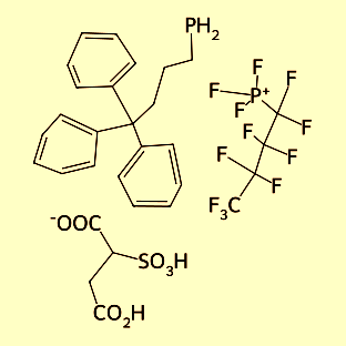 FC(F)(F)C(F)(F)C(F)(F)C(F)(F)[P+](F)(F)F.O=C(O)CC(C(=O)[O-])S(=O)(=O)O.PCCCC(c1ccccc1)(c1ccccc1)c1ccccc1